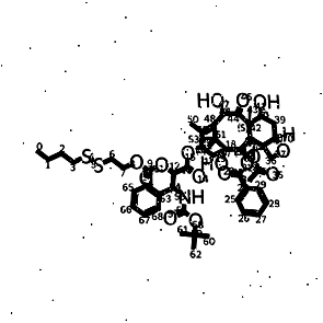 CCCCSSCCOC(=O)OC(C(=O)O[C@H]1C[C@@]2(O)[C@@H](OC(=O)c3ccccc3)[C@@H]3[C@]4(OC(C)=O)CO[C@@H]4C[C@H](O)[C@@]3(C)C(=O)[C@H](O)C(=C1C)C2(C)C)[C@@H](NC(=O)OC(C)(C)C)c1ccccc1